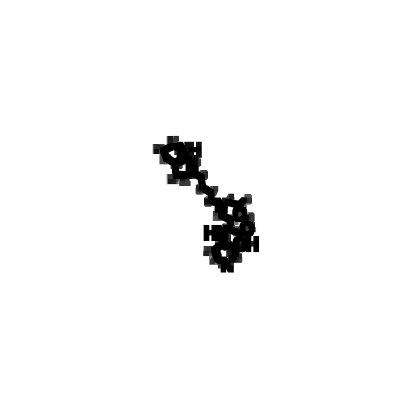 CO[C@H](C)CN(CCCCc1ccc2c(n1)NCCC2)CCC(Nc1ccncn1)C(=O)O